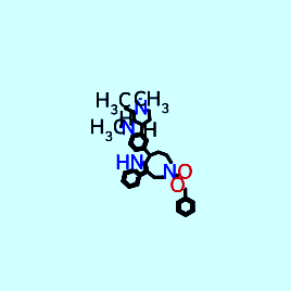 CCC1[C@@H]2[C@@H](CCN1C)c1cc(C3CCCN(C(=O)OCc4ccccc4)CCc4c3[nH]c3ccccc43)ccc1N2C